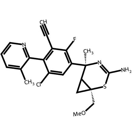 C#Cc1c(F)c([C@@]2(C)N=C(N)S[C@@]3(COC)CC32)cc(Cl)c1-c1ncccc1C